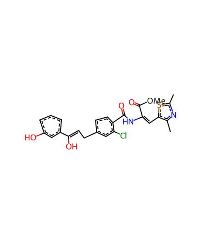 COC(=O)C(=Cc1sc(C)nc1C)NC(=O)c1ccc(CC=C(O)c2cccc(O)c2)cc1Cl